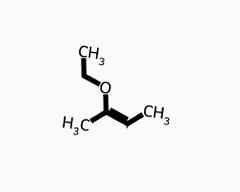 C[C]=C(C)OCC